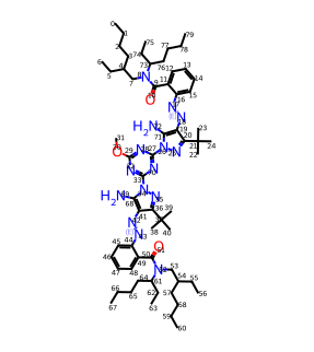 CCCCC(CC)CN(C(=O)c1ccccc1/N=N/c1c(C(C)(C)C)nn(-c2nc(OC)nc(-n3nc(C(C)(C)C)c(/N=N/c4ccccc4C(=O)N(CC(CC)CCCC)C(CC)CCCC)c3N)n2)c1N)C(CC)CCCC